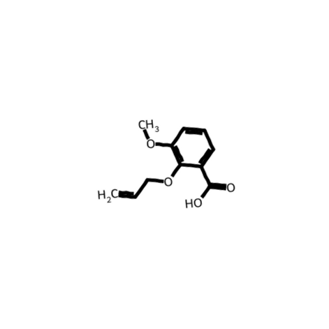 C=CCOc1c(OC)cccc1C(=O)O